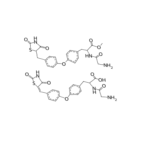 COC(=O)C(Cc1ccc(Oc2ccc(CC3SC(=O)NC3=O)cc2)cc1)NC(=O)CN.NCC(=O)NC(Cc1ccc(Oc2ccc(C=C3SC(=O)NC3=O)cc2)cc1)C(=O)O